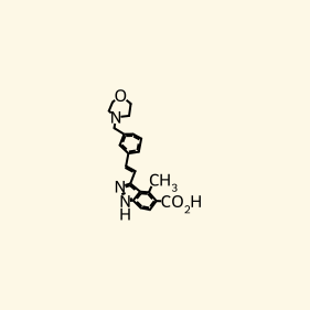 Cc1c(C(=O)O)ccc2[nH]nc(C=Cc3cccc(CN4CCOCC4)c3)c12